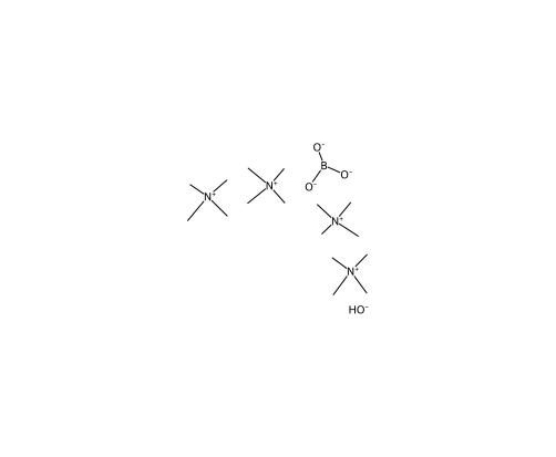 C[N+](C)(C)C.C[N+](C)(C)C.C[N+](C)(C)C.C[N+](C)(C)C.[O-]B([O-])[O-].[OH-]